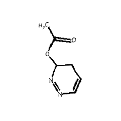 CC(=O)OC1CC=CN=N1